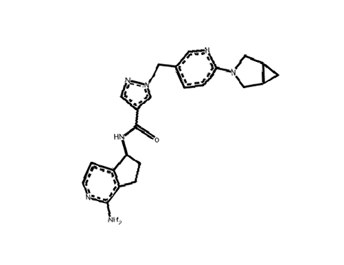 Nc1nccc2c1CCC2NC(=O)c1cnn(Cc2ccc(N3CC4CC4C3)nc2)c1